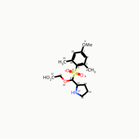 COc1cc(C)c(S(=O)(=O)C(OCC(=O)O)C2CCCN2)c(C)c1